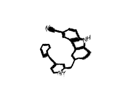 N#Cc1ccc2[nH]c3c(c2c1)CC(CC1CC(c2ccccc2)=CCN1)CC3